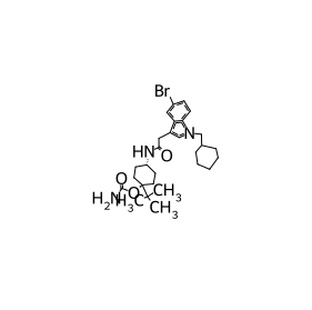 CC(C)(C)[C@]1(OC(N)=O)CC[C@H](NC(=O)Cc2cn(CC3CCCCC3)c3ccc(Br)cc23)CC1